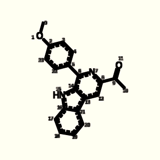 COc1ccc(-c2nc(C(C)=O)cc3c2[nH]c2ccccc23)cc1